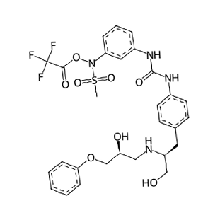 CS(=O)(=O)N(OC(=O)C(F)(F)F)c1cccc(NC(=O)Nc2ccc(C[C@@H](CO)NC[C@H](O)COc3ccccc3)cc2)c1